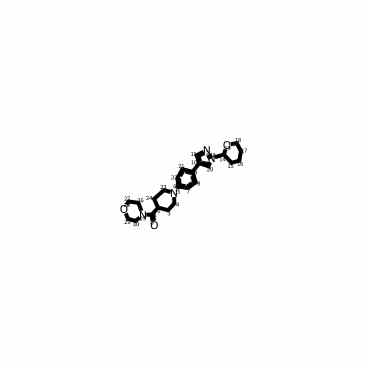 O=C(C1CCN(c2ccc(-c3cnn(C4CCCCO4)c3)cc2)CC1)N1CCOCC1